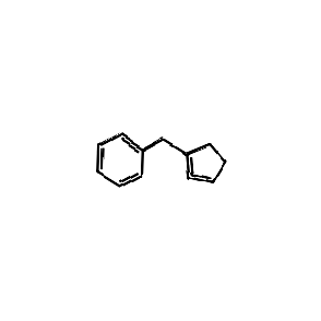 C1=CCCC=1Cc1ccccc1